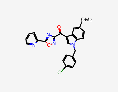 COc1ccc2c(c1)c(C(=O)c1noc(-c3ccccn3)n1)cn2Cc1ccc(Cl)cc1